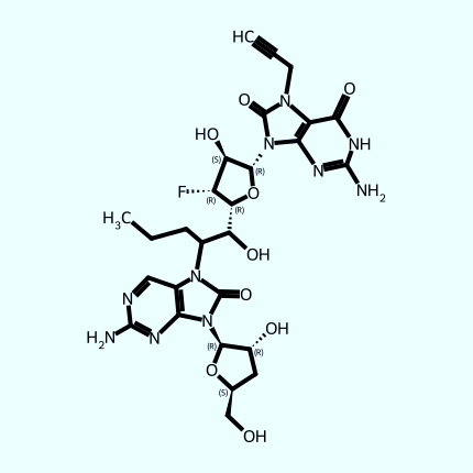 C#CCn1c(=O)n([C@@H]2O[C@H](C(O)C(CCC)n3c(=O)n([C@@H]4O[C@H](CO)C[C@H]4O)c4nc(N)ncc43)[C@H](F)[C@H]2O)c2nc(N)[nH]c(=O)c21